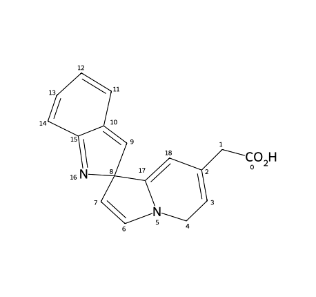 O=C(O)CC1=CCN2C=CC3(C=c4ccccc4=N3)C2=C1